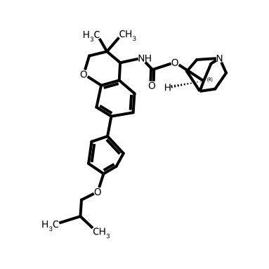 CC(C)COc1ccc(-c2ccc3c(c2)OCC(C)(C)C3NC(=O)O[C@H]2CN3CCC2CC3)cc1